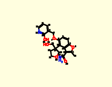 Cc1oc2ccc(OCc3cccnc3O)c(C3(CO)CCOC3)c2c1C(N)=O